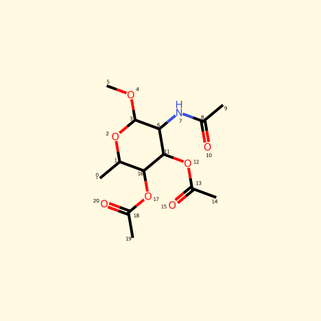 [CH2]C1OC(OC)C(NC(C)=O)C(OC(C)=O)C1OC(C)=O